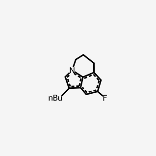 CCCCc1cn2c3c(cc(F)cc13)CCC2